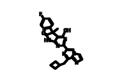 CC1(c2ccc(F)cn2)C(=O)Nc2nc(-c3cn4ccnc4c(CC4CCC4)n3)nc(O)c21